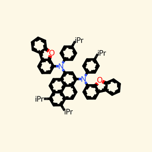 CC(C)c1ccc(N(c2cc(N(c3ccc(C(C)C)cc3)c3cccc4c3oc3ccccc34)c3ccc4c(C(C)C)cc(C(C)C)c5ccc2c3c54)c2cccc3c2oc2ccccc23)cc1